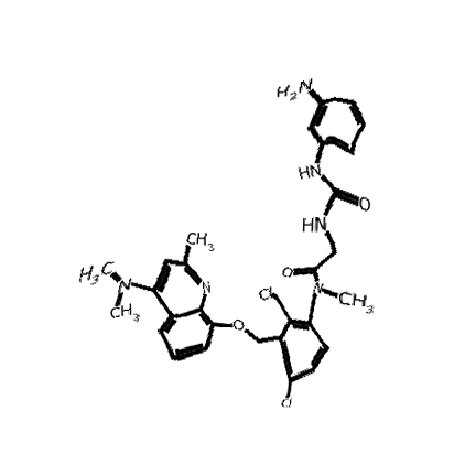 Cc1cc(N(C)C)c2cccc(OCc3c(Cl)ccc(N(C)C(=O)CNC(=O)Nc4cccc(N)c4)c3Cl)c2n1